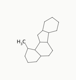 CC1CCCC2CCC3C4CCCCC4CC3C12